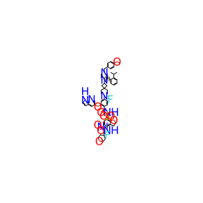 COc1ccc(CN2CCN(C3CC4(CCN(c5cc(Oc6cnc7[nH]ccc7c6)c(C(=O)NS(=O)(=O)c6cc([N+](=O)[O-])c(NCC7(F)CCOCC7)c7c6OCC7)cc5F)CC4)C3)[C@H](c3ccccc3C(C)C)C2)cc1